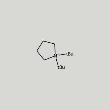 CC(C)(C)[N+]1(C(C)(C)C)CCCC1